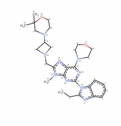 CCc1nc2ccccc2n1-c1nc(N2CCOCC2)c2nc(CN3CC(N4CCOC(C)(C)C4)C3)n(C)c2n1